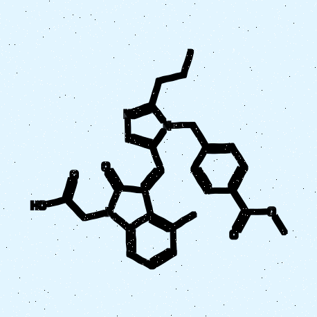 CCCc1ncc(/C=C2\C(=O)N(CC(=O)O)c3cccc(C)c32)n1Cc1ccc(C(=O)OC)cc1